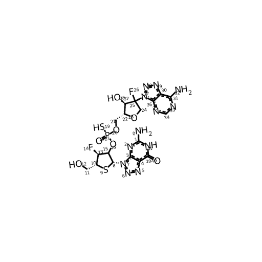 Nc1nc2c(nnn2[C@@H]2S[C@H](CO)[C@@H](F)C2OP(=O)(S)OC[C@H]2OCC(F)(n3nnc4c(N)ncnc43)[C@@H]2O)c(=O)[nH]1